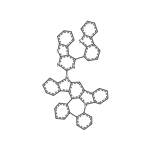 c1ccc2c(c1)-c1ccccc1-n1c3ccccc3c3cc4c(c-2c31)c1ccccc1n4-c1nc(-c2cccc3c2sc2ccccc23)c2c(n1)sc1ccccc12